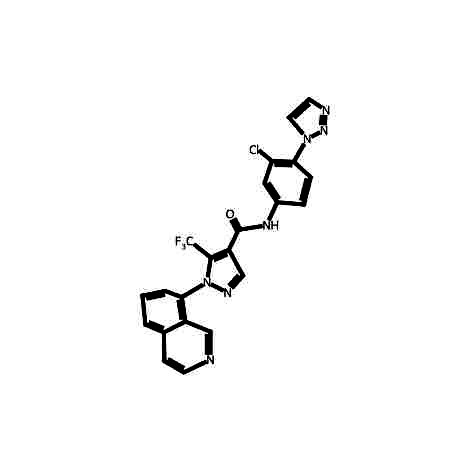 O=C(Nc1ccc(-n2ccnn2)c(Cl)c1)c1cnn(-c2cccc3ccncc23)c1C(F)(F)F